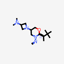 C=NN1CC(N2CC(N(C)C)C2)CO/C1=C(/C)C(C)(C)C